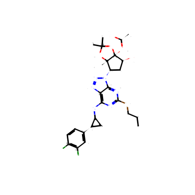 CCCSc1nc(NC2C[C@H]2c2ccc(F)c(F)c2)c2nnn([C@@H]3C[C@H](O)[C@@]4(O[C@H](C)O)OC(C)(C)O[C@@H]34)c2n1